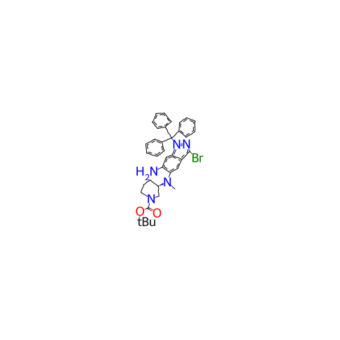 CN(c1cc2c(Br)nn(C(c3ccccc3)(c3ccccc3)c3ccccc3)c2cc1N)[C@@H]1CCCN(C(=O)OC(C)(C)C)C1